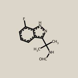 CC(C)(NC=O)c1n[nH]c2c(F)cccc12